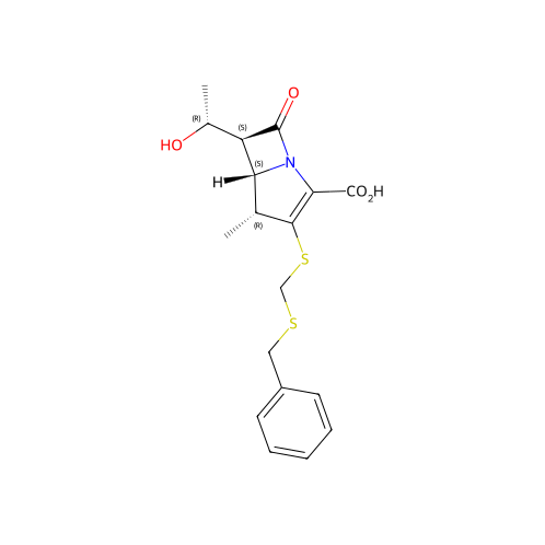 C[C@@H](O)[C@H]1C(=O)N2C(C(=O)O)=C(SCSCc3ccccc3)[C@H](C)[C@H]12